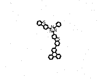 c1ccc(-c2nc(-c3ccc4c(c3)sc3ccccc34)nc(-c3ccc4c(c3)sc3ccc(-c5ccc6c7ccccc7c7ccccc7c6c5)cc34)n2)cc1